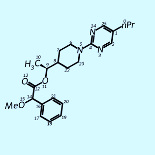 CCCc1cnc(N2CCC([C@H](C)OC(=O)C(OC)c3ccccc3)CC2)nc1